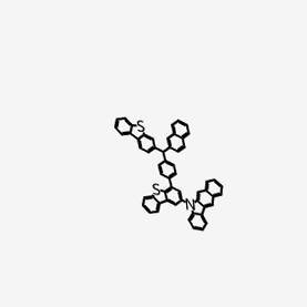 c1ccc2cc(C(c3ccc(-c4cc(-n5c6ccccc6c6cc7ccccc7cc65)cc5c4sc4ccccc45)cc3)c3ccc4c(c3)sc3ccccc34)ccc2c1